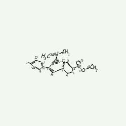 COC(=O)c1ccc2cc(-c3ccccc3)n(C(C)C)c2c1